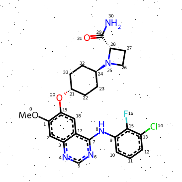 COc1cc2ncnc(Nc3cccc(Cl)c3F)c2cc1O[C@H]1CC[C@H](N2CC[C@H]2C(N)=O)CC1